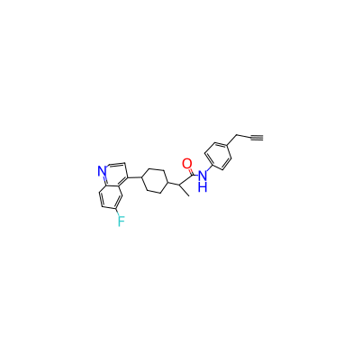 C#CCc1ccc(NC(=O)C(C)C2CCC(c3ccnc4ccc(F)cc34)CC2)cc1